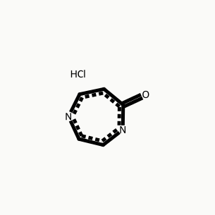 Cl.O=c1ccnccn1